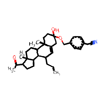 C=CCC1C=C2CC(O)(OCc3ccc(C#N)cc3)CCC2(C)C2CCC3(C)C(C(C)=O)CCC3C12